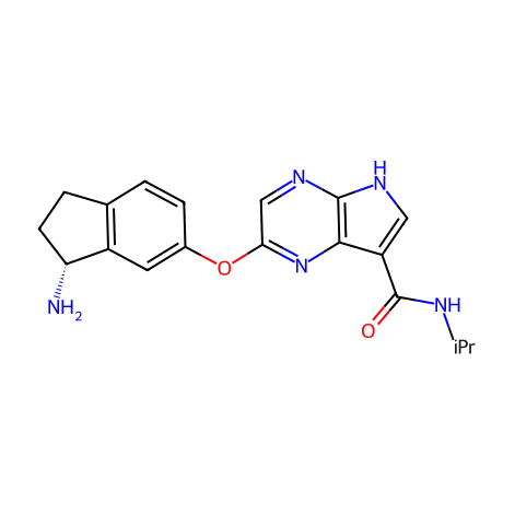 CC(C)NC(=O)c1c[nH]c2ncc(Oc3ccc4c(c3)[C@H](N)CC4)nc12